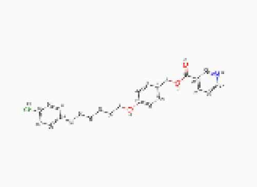 O=C(OCc1ccc(OCCCCCCc2ccc(Cl)cc2)cc1)c1cccnc1